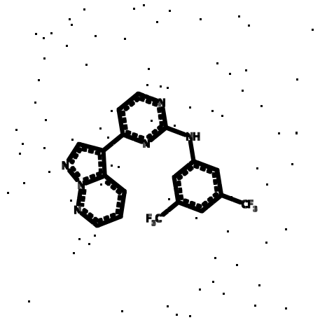 FC(F)(F)c1cc(Nc2nccc(-c3cnn4ncccc34)n2)cc(C(F)(F)F)c1